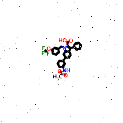 CS(=O)(=O)Nc1cccc(-c2ccc3c(-c4ccccc4)c(C(=O)O)n(Cc4cccc(OC(F)(F)F)c4)c3c2)c1